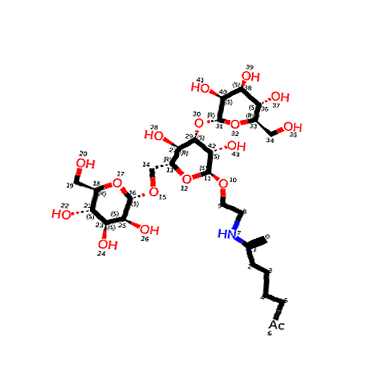 C=C(CCCCC(C)=O)NCCO[C@H]1O[C@H](CO[C@H]2O[C@H](CO)[C@@H](O)[C@H](O)[C@@H]2O)[C@@H](O)[C@H](O[C@H]2O[C@H](CO)[C@@H](O)[C@H](O)[C@@H]2O)[C@@H]1O